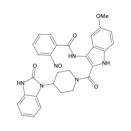 COc1ccc2[nH]c(C(=O)N3CCC(n4c(=O)[nH]c5ccccc54)CC3)c(NC(=O)c3ccccc3N=O)c2c1